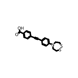 O=C(O)c1ccc(C#Cc2ccc(N3CCSSCC3)cc2)cc1